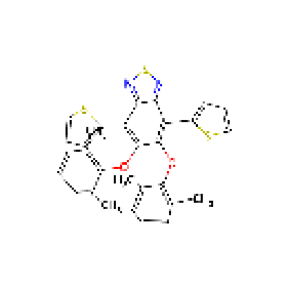 Cc1cccc(C)c1Oc1c(Oc2c(C)cccc2C)c(-c2cccs2)c2nsnc2c1-c1cccs1